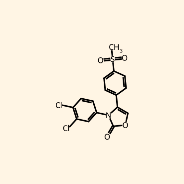 CS(=O)(=O)c1ccc(-c2coc(=O)n2-c2ccc(Cl)c(Cl)c2)cc1